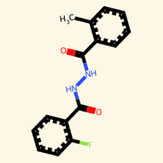 Cc1ccccc1C(=O)NNC(=O)c1ccccc1F